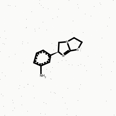 Nc1cccc([C@H]2CN3CCSC3=N2)c1